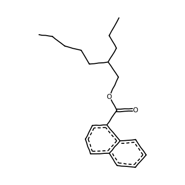 CCCCCC(CCC)COC(=O)c1cccc2ccccc12